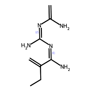 C=C(N)/N=C(N)\N=C(\N)C(=C)CC